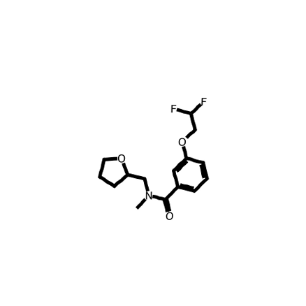 CN(CC1CCCO1)C(=O)c1cccc(OCC(F)F)c1